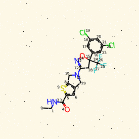 CCNC(=O)c1cc2c(s1)CN(C1=NOC(c3cc(Cl)cc(Cl)c3)(C(F)(F)F)C1)C2